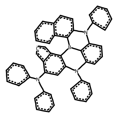 c1ccc(N2c3cccc4c3B(c3c2ccc2ccccc32)c2c(cc(N(c3ccccc3)c3ccccc3)c3ccccc23)N4c2ccccc2)cc1